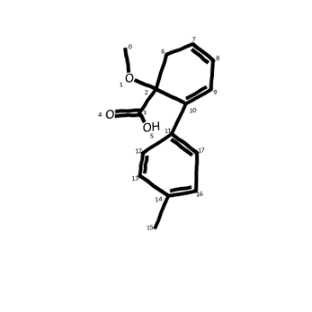 COC1(C(=O)O)CC=CC=C1c1ccc(C)cc1